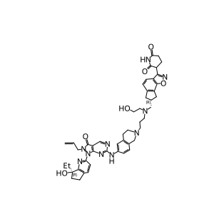 C=CCn1c(=O)c2cnc(Nc3ccc4c(c3)CCN(CCCN(CCO)C[C@@H]3Cc5ccc6c(C7CCC(=O)NC7=O)noc6c5C3)C4)nc2n1-c1ccc2c(n1)[C@@](O)(CC)CC2